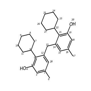 Cc1cc(O)c(C2CCCCC2)c(Cc2cc(C)cc(O)c2C2CCCCC2)c1